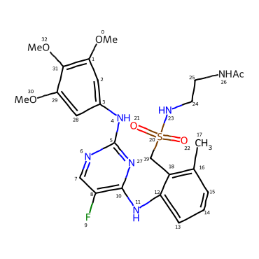 COc1cc(Nc2ncc(F)c(Nc3cccc(C)c3CS(=O)(=O)NCCNC(C)=O)n2)cc(OC)c1OC